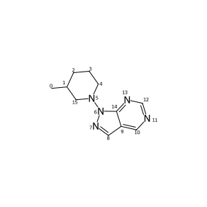 CC1CCCN(n2ncc3cncnc32)C1